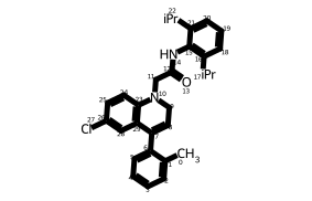 Cc1ccccc1C1=CCN(CC(=O)Nc2c(C(C)C)cccc2C(C)C)c2ccc(Cl)cc21